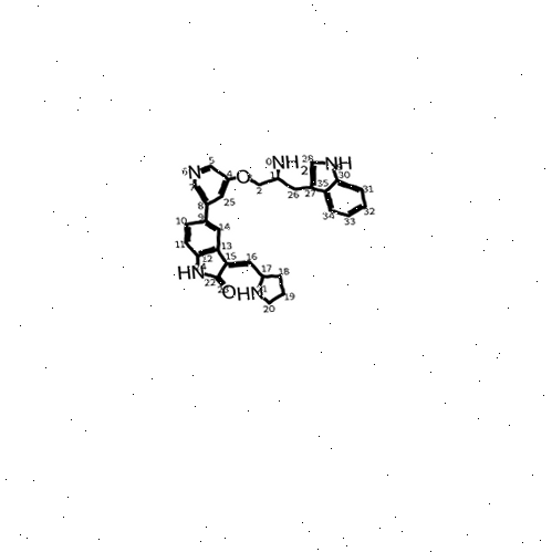 N[C@H](COc1cncc(-c2ccc3c(c2)/C(=C/C2CCCN2)C(=O)N3)c1)Cc1c[nH]c2ccccc12